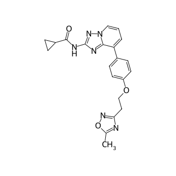 Cc1nc(CCOc2ccc(-c3cccn4nc(NC(=O)C5CC5)nc34)cc2)no1